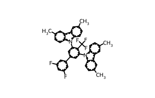 Cc1ccc2c(c1)c1cc(C)ccc1n2-c1cc(-c2cc(F)cc(F)c2)cc(-n2c3ccc(C)cc3c3cc(C)ccc32)c1C(F)(F)F